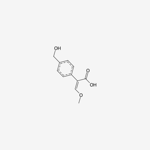 COC=C(C(=O)O)c1ccc(CO)cc1